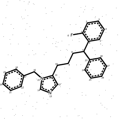 Fc1ccccc1C(CCCc1cncn1Cc1ccccc1)c1ccccc1